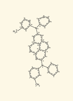 Cc1cccc(N(c2ccccc2)c2cc3ccc4cc(N(c5ccccc5)c5cccc(C)c5)cc5ccc(c2)c3c45)c1